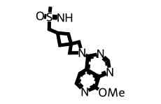 COc1nccc2c(N3CC4(CC(CS(C)(=N)=O)C4)C3)ncnc12